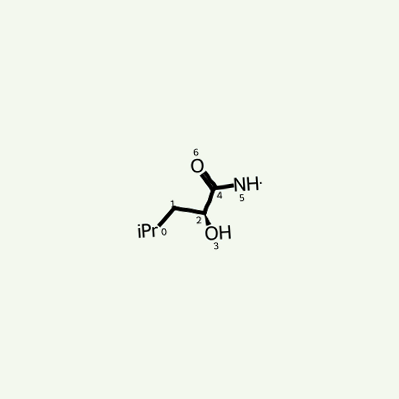 CC(C)C[C@H](O)C([NH])=O